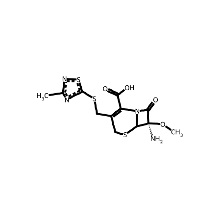 CO[C@]1(N)C(=O)N2C(C(=O)O)=C(CSc3nc(C)ns3)CSC21